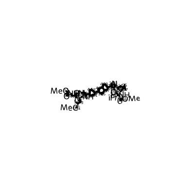 COC[C@H]1C[C@@H](c2ncc(-c3ccc(-c4ccc5cc(-c6cnc([C@@H]7CC8(CC8)CN7C(=O)[C@@H](NC(=O)OC)C(C)C)[nH]6)ccc5c4)cc3)[nH]2)N(C(=O)CNC(=O)OC)C1